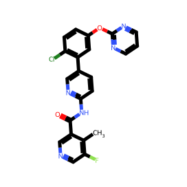 Cc1c(F)cncc1C(=O)Nc1ccc(-c2cc(Oc3ncccn3)ccc2Cl)cn1